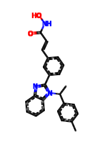 Cc1ccc(C(C)n2c(-c3cccc(C=CC(=O)NO)c3)nc3ccccc32)cc1